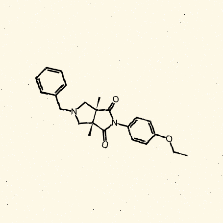 CCOc1ccc(N2C(=O)[C@]3(C)CN(Cc4ccccc4)C[C@]3(C)C2=O)cc1